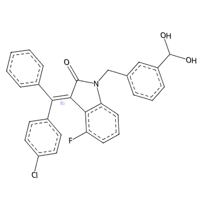 O=C1/C(=C(\c2ccccc2)c2ccc(Cl)cc2)c2c(F)cccc2N1Cc1cccc(C(O)O)c1